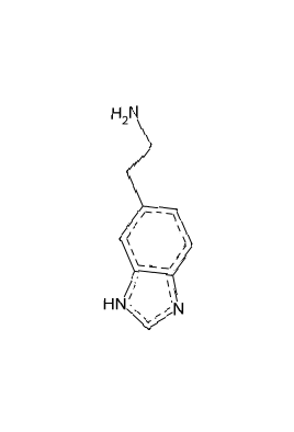 NCCc1ccc2nc[nH]c2c1